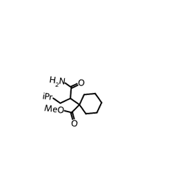 COC(=O)C1(C(CC(C)C)C(N)=O)CCCCC1